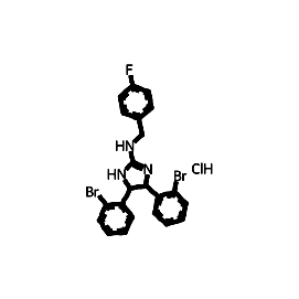 Cl.Fc1ccc(CNC2=NC(c3ccccc3Br)C(c3ccccc3Br)N2)cc1